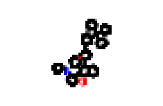 c1ccc(N(c2ccccc2)c2cccc3oc4c5ccccc5c(-c5ccc(-c6ccc7c(c6)C(c6ccccc6)(c6ccccc6)c6ccccc6-7)cc5)cc4c23)cc1